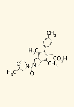 Cc1ccc(-c2c(C)c3c(c(C)c2CC(=O)O)CN(C(=O)N2CCOC(C)C2)C3)cc1